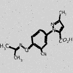 CC(C)=NOc1ccc(-n2nc(C)cc2C(=O)O)cc1C#N